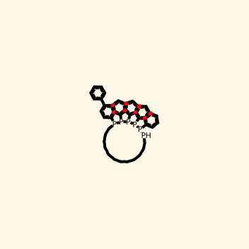 c1ccc(-c2ccc(P3CCCCCCCCCCCCPP(c4ccccc4)P(c4ccccc4)P(c4ccccc4)P3c3ccccc3)cc2)cc1